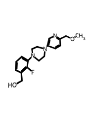 COCc1ccc(N2CCN(c3cccc(CO)c3F)CC2)cn1